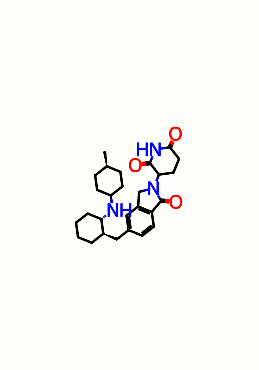 C[C@H]1CC[C@@H](N[C@H]2CCCC[C@@H]2Cc2ccc3c(c2)CN(C2CCC(=O)NC2=O)C3=O)CC1